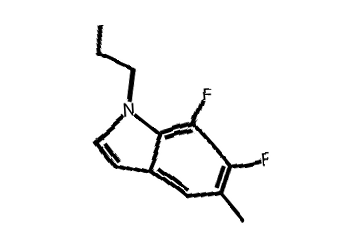 CCCn1ccc2cc(C)c(F)c(F)c21